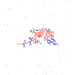 CC(C)(COP(=O)(O)OP(=O)(O)OC[C@H]1O[C@@H](n2cnc3c(N)ncnc32)[C@H](O)[C@@H]1OP(=O)(O)O)[C@@H](O)C(=O)NCCC(=O)NCCS.CC=CCCC(=O)O